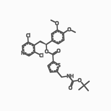 COc1ccc([C@H](Cc2c(Cl)cncc2Cl)OC(=O)c2ccc(CNC(=O)OC(C)(C)C)s2)cc1OC